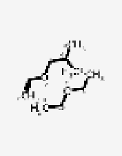 C=COCC(C)C.CCOCC